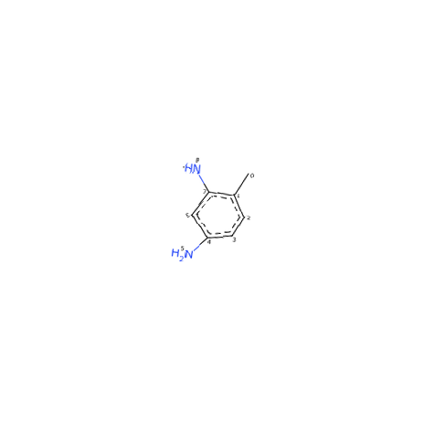 Cc1ccc(N)cc1[NH]